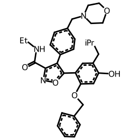 CCNC(=O)c1noc(-c2cc(CC(C)C)c(O)cc2OCc2ccccc2)c1-c1ccc(CN2CCOCC2)cc1